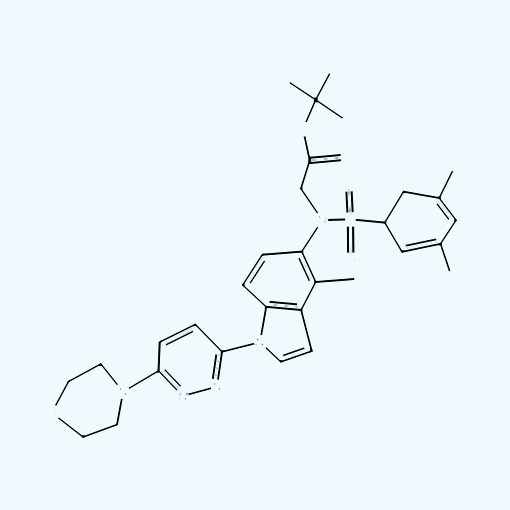 Cc1c(N(CC(=O)OC(C)(C)C)S(=O)(=O)C2C=C(Cl)C=C(Cl)C2)ccc2c1ccn2-c1ccc(N2CCOCC2)nn1